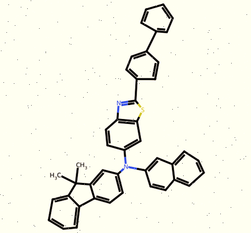 CC1(C)c2ccccc2-c2ccc(N(c3ccc4ccccc4c3)c3ccc4nc(-c5ccc(-c6ccccc6)cc5)sc4c3)cc21